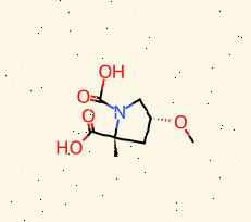 CO[C@H]1CN(C(=O)O)[C@@](C)(C(=O)O)C1